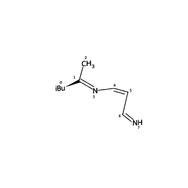 CC[C@H](C)/C(C)=N/C=C\C=N